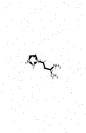 C[C@H](N)CCn1ccnn1